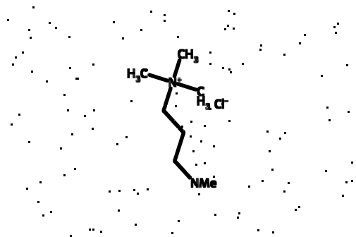 CNCCC[N+](C)(C)C.[Cl-]